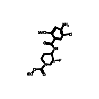 COc1cc(N)c(Cl)cc1C(=O)NC1CCN(C(=O)OC(C)(C)C)C[C@H]1F